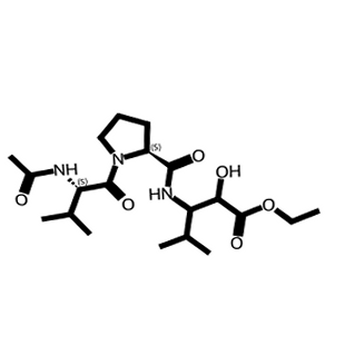 CCOC(=O)C(O)C(NC(=O)[C@@H]1CCCN1C(=O)[C@@H](NC(C)=O)C(C)C)C(C)C